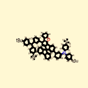 CC(C)(C)c1ccc(C(c2ccc([Si](C)(C)C)cc2)c2cccc(-c3cc4c(c5oc6ccccc6c35)-c3ccc(-c5cccc(N(c6ccc(C(C)(C)C)cc6)c6ccc([Si](C)(C)C)cc6)c5)cc3C43c4ccccc4-c4ccccc43)c2)cc1